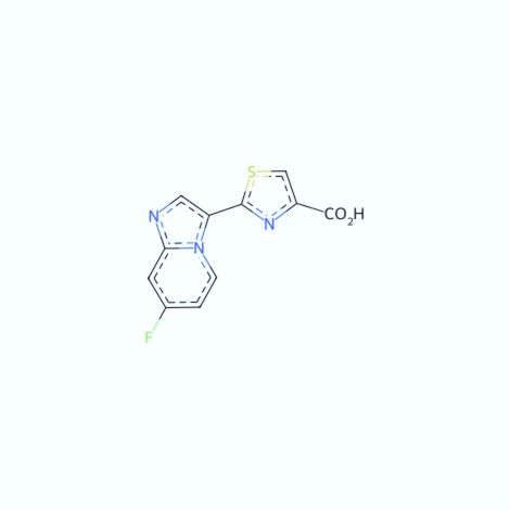 O=C(O)c1csc(-c2cnc3cc(F)ccn23)n1